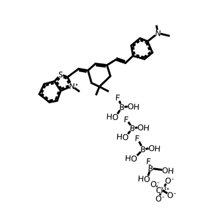 CN(C)c1ccc(/C=C/C2=CC(=C/c3sc4ccccc4[n+]3C)/CC(C)(C)C2)cc1.OB(O)F.OB(O)F.OB(O)F.OB(O)F.[O-][Cl+3]([O-])([O-])[O-]